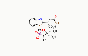 CCC(C(C(=O)O)(C(=O)O)C(=O)O)P(=O)(O)O.O=C(S)CC(C(=O)O)c1nc2ccccc2s1